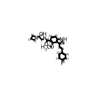 COc1c(C(=O)NCC(=O)N2CCC2)ccc2[nH]nc(/C=C/c3ccc(F)cc3)c12